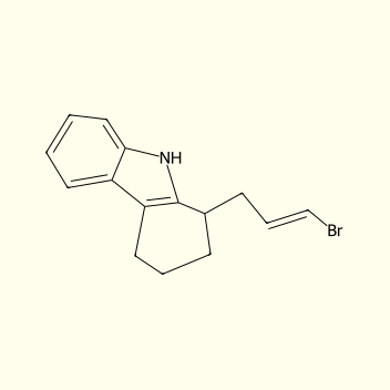 Br/C=C/CC1CCCc2c1[nH]c1ccccc21